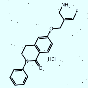 Cl.NC/C(=C\F)COc1ccc2c(c1)CCN(c1ccccc1)C2=O